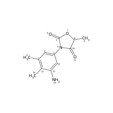 Cc1cc(N2C(=O)OC(C)C2=O)cc(N)c1C